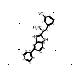 N#Cc1cccc(C[C@H](N)c2nc3cc(-c4ccncc4)ccc3[nH]2)c1